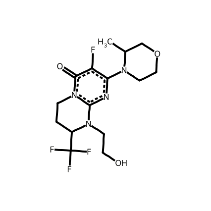 CC1COCCN1c1nc2n(c(=O)c1F)CCC(C(F)(F)F)N2CCO